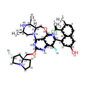 C=C(Cl)c1c(C)ccc2cc(O)cc(-c3nc4c5c(nc(OC[C@@]67CCCN6C[C@H](F)C7)nc5c3F)N3C[C@@H](C)N[C@@H](CC)[C@H]3CO4)c12